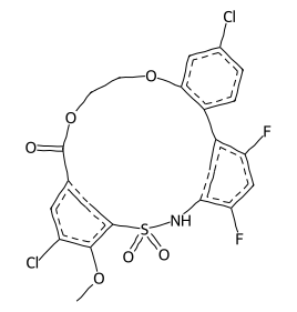 COc1c(Cl)cc2cc1S(=O)(=O)Nc1cc(c(F)cc1F)-c1ccc(Cl)cc1OCCOC2=O